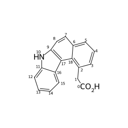 O=C(O)Cc1cccc2ccc3[nH]c4ccccc4c3c12